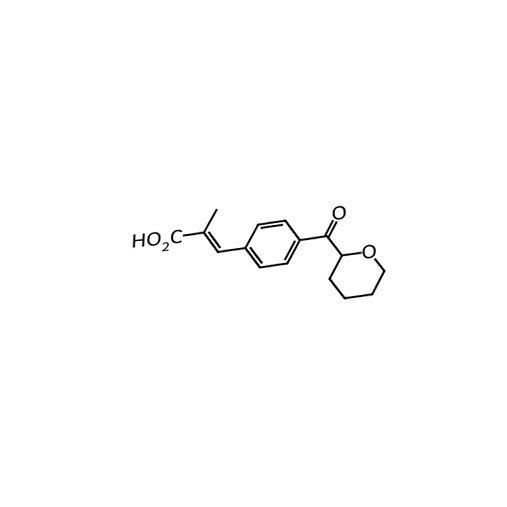 CC(=Cc1ccc(C(=O)C2CCCCO2)cc1)C(=O)O